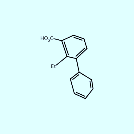 CCc1c(C(=O)O)cccc1-c1ccccc1